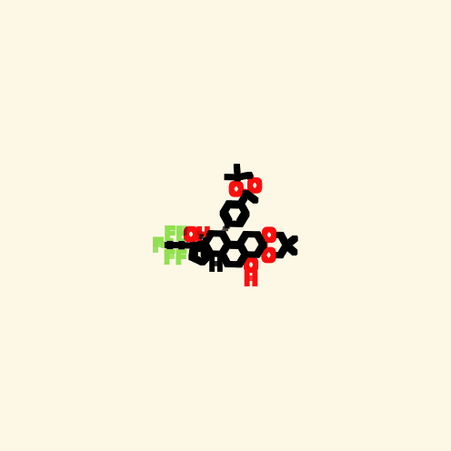 CC1(C)COC2(CCC3=C4[C@@H](CC[C@@]3(O)C2)[C@@H]2CC[C@@](O)(C(F)(F)C(F)(F)F)[C@@]2(C)C[C@@H]4c2ccc(C3(C)OCC(C)(C)O3)cc2)OC1